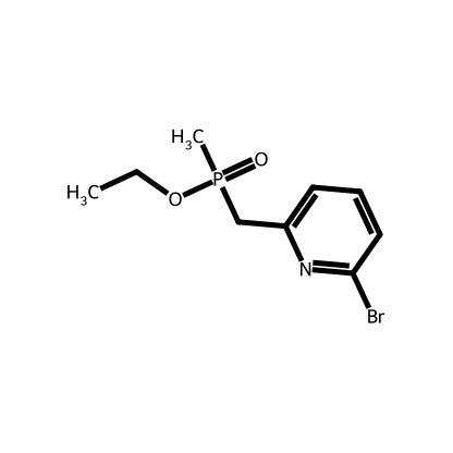 CCOP(C)(=O)Cc1cccc(Br)n1